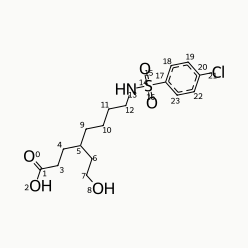 O=C(O)CCC(CCO)CCCCNS(=O)(=O)c1ccc(Cl)cc1